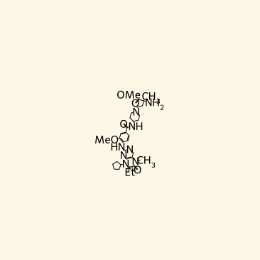 CC[C@@H]1C(=O)N(C)c2cnc(Nc3ccc(C(=O)NC4CCN(CCC(C)(N)C(=O)OC)CC4)cc3OC)nc2N1C1CCCC1